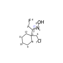 O/N=C(\CF)C1(CCl)CCCCC1